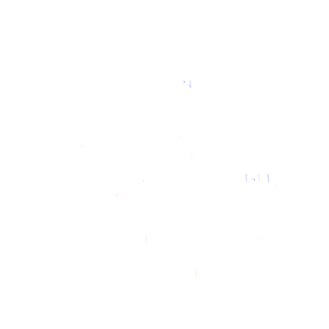 Nc1c(F)c(F)c(F)c(C(=O)c2c(F)c(N)c(F)c(F)c2F)c1F